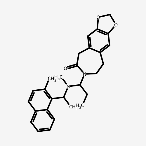 CCC(N1CCc2cc3c(cc2CC1=O)OCO3)N(C)C(C)c1c(C)ccc2ccccc12